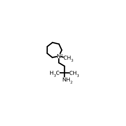 CC(C)(N)CC[N+]1(C)CCCCCC1